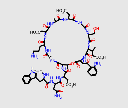 CC1NC(=O)C(CC(=O)O)NC(=O)C(CCCN)NC(=O)CNC(=O)C(NC(=O)C(CC(=O)O)NC(=O)C(CC(N)=O)NC(=O)C(Cc2c[nH]c3ccccc23)NC=O)C(C)OC(=O)C(CC(=O)c2ccccc2N)NC(=O)C(C(C)CC(=O)O)NC(=O)C(CO)NC(=O)CNC(=O)C(CC(=O)O)NC1=O